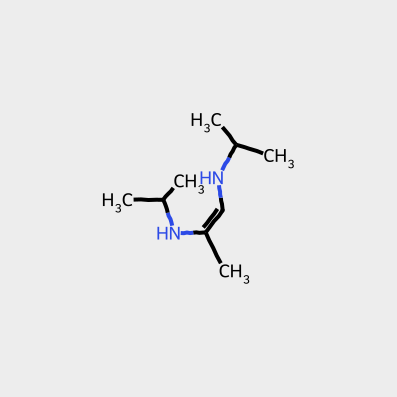 CC(=CNC(C)C)NC(C)C